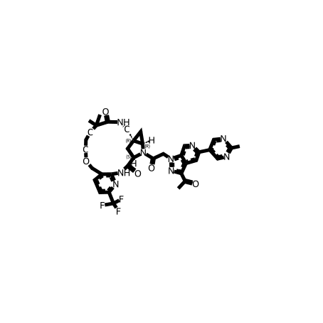 CC(=O)c1nn(CC(=O)N2[C@H]3C[C@@]4(CNC(=O)C(C)(C)CCCOCc5ccc(C(F)(F)F)nc5NC3=O)C[C@@H]24)c2cnc(-c3cnc(C)nc3)cc12